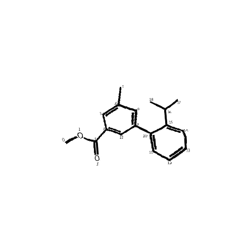 COC(=O)c1cc(C)cc(-c2ccccc2C(C)C)c1